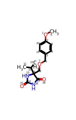 COc1ccc(COCC2(C(C)C)NC(=O)NC2=O)cc1